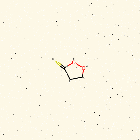 S=C1CCOO1